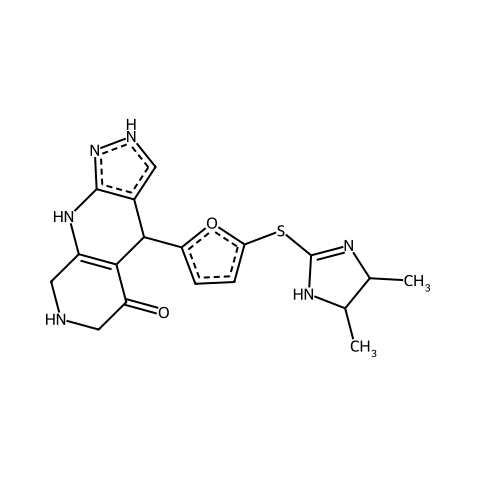 CC1N=C(Sc2ccc(C3C4=C(CNCC4=O)Nc4n[nH]cc43)o2)NC1C